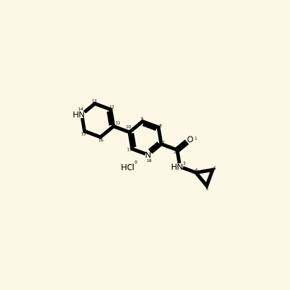 Cl.O=C(NC1CC1)c1ccc(C2=CCNCC2)cn1